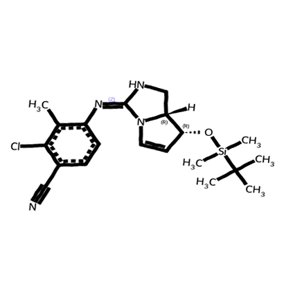 Cc1c(/N=C2/NC[C@@H]3[C@H](O[Si](C)(C)C(C)(C)C)C=CN23)ccc(C#N)c1Cl